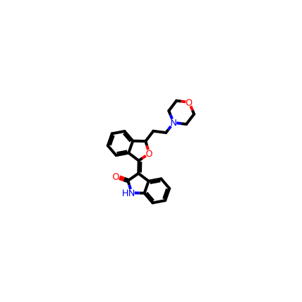 O=C1Nc2ccccc2/C1=C1\OC(CCN2CCOCC2)c2ccccc21